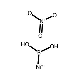 O=[N+]([O-])[O-].O[B](O)[Ni+]